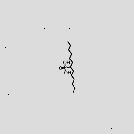 CCCCCC[C](CCCCCC)P(=O)(O)O